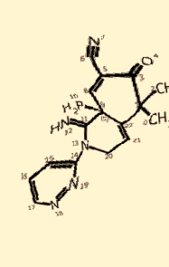 CC1(C)C(=O)C(C#N)=C[C@@]2(P)C(=N)N(c3cccnn3)CC=C12